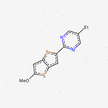 CCc1cnc(-c2cc3sc(OC)cc3s2)nc1